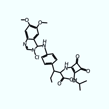 CCC(c1ccc(NC2c3cc(OC)c(OC)cc3N=CN2Cl)cc1)C(Nc1c(OC(C)C)c(=O)c1=O)C(=O)O